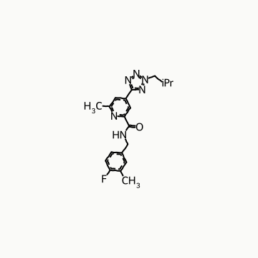 Cc1cc(-c2nnn(CC(C)C)n2)cc(C(=O)NCc2ccc(F)c(C)c2)n1